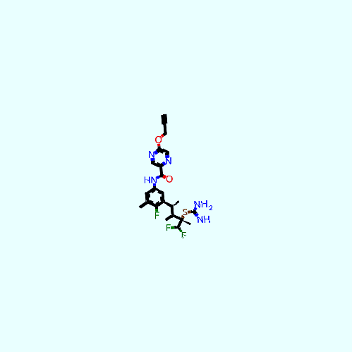 C#CCOc1cnc(C(=O)Nc2cc(C)c(F)c([C@@H](C)C(C)[C@](C)(SC(=N)N)C(F)F)c2)cn1